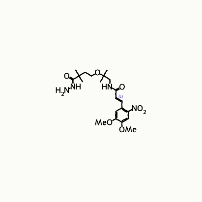 COc1cc(/C=C/C(=O)NCC(C)(C)OCCC(C)(C)C(=O)NN)c([N+](=O)[O-])cc1OC